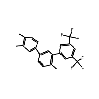 Cc1ccc(-c2ccc(C)c(-c3cc(C(F)(F)F)cc(C(F)(F)F)c3)c2)cc1C